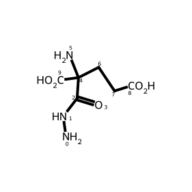 NNC(=O)C(N)(CCC(=O)O)C(=O)O